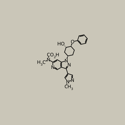 CN(C(=O)O)c1cc2c(cn1)c(-c1cnn(C)c1)nn2[C@@H]1CC[C@H](Oc2ccccc2)[C@@H](O)C1